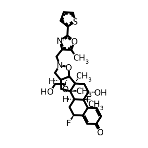 Cc1oc(-c2cccs2)nc1CN1C[C@@H]2C[C@@]3(C)[C@@H]4C[C@H](F)C5=CC(=O)C=C[C@]5(C)[C@@]4(F)[C@@H](O)C[C@]3(C)[C@]2(C(=O)CO)O1